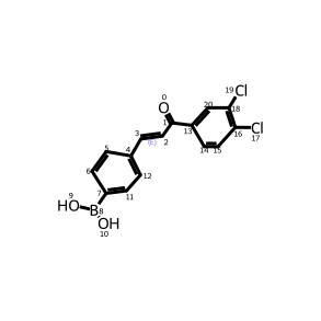 O=C(/C=C/c1ccc(B(O)O)cc1)c1ccc(Cl)c(Cl)c1